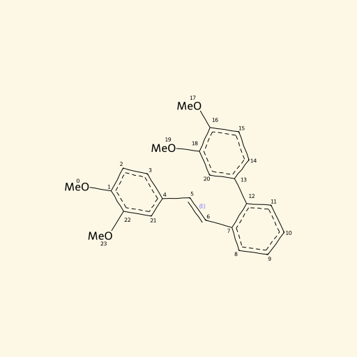 COc1ccc(/C=C/c2ccccc2-c2ccc(OC)c(OC)c2)cc1OC